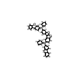 c1ccc(N(c2ccc3c(c2)oc2ccccc23)c2ccc3c(c2)oc2oc4ccc(N(c5ccccc5)c5ccc6c(c5)sc5ccccc56)cc4c23)cc1